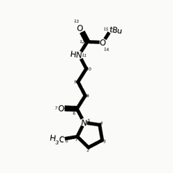 CC1CCCN1C(=O)CCCNC(=O)OC(C)(C)C